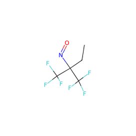 CCC(N=O)(C(F)(F)F)C(F)(F)F